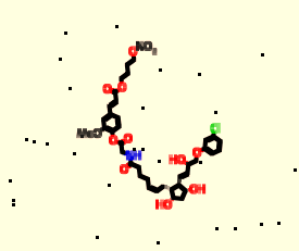 COc1cc(/C=C/C(=O)OCCCCO[N+](=O)[O-])ccc1OC(=O)CNC(=O)CCC/C=C\C[C@@H]1[C@@H](/C=C/[C@@H](O)COc2cccc(Cl)c2)[C@H](O)C[C@@H]1O